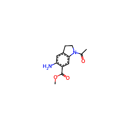 COC(=O)c1cc2c(cc1N)CCN2C(C)=O